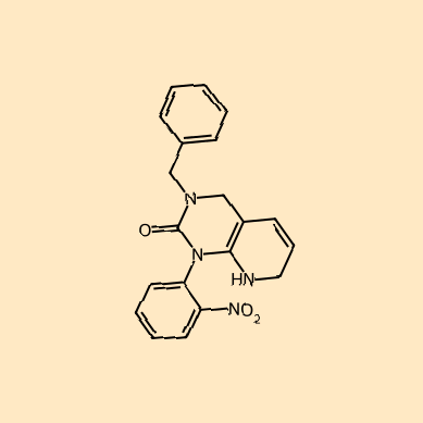 O=C1N(Cc2ccccc2)CC2=C(NCC=C2)N1c1ccccc1[N+](=O)[O-]